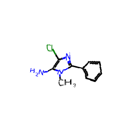 Cn1c(-c2ccccc2)nc(Cl)c1N